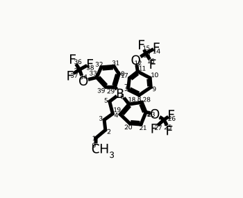 CCCCCC[B-](c1cccc(OC(F)(F)F)c1)(c1cccc(OC(F)(F)F)c1)c1cccc(OC(F)(F)F)c1